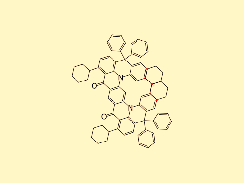 O=c1c2cc3c(=O)c4c(C5CCCCC5)ccc5c4n(c3cc2n2c3c(ccc(C4CCCCC4)c13)C(c1ccccc1)(c1ccccc1)c1ccc(C3CCCCC3)cc1-2)-c1cc(C2CCCCC2)ccc1C5(c1ccccc1)c1ccccc1